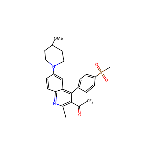 COC1CCN(c2ccc3nc(C)c(C(=O)C(F)(F)F)c(-c4ccc(S(C)(=O)=O)cc4)c3c2)CC1